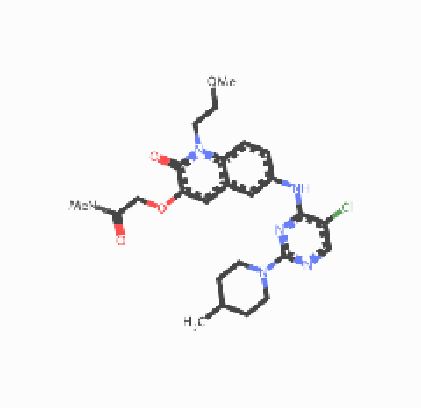 CNC(=O)COc1cc2cc(Nc3nc(N4CCC(C)CC4)ncc3Cl)ccc2n(CCOC)c1=O